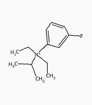 [CH2]C(C)[N+](CC)(CC)c1cccc(F)c1